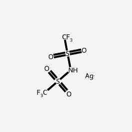 O=S(=O)(NS(=O)(=O)C(F)(F)F)C(F)(F)F.[Ag]